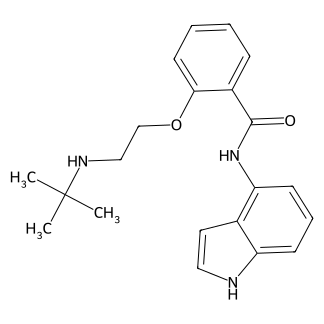 CC(C)(C)NCCOc1ccccc1C(=O)Nc1cccc2[nH]ccc12